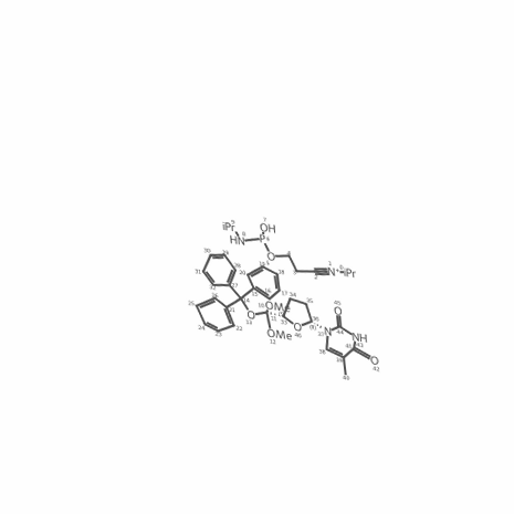 CC(C)[N+]#CCCOP(O)NC(C)C.COC(OC)(OC(c1ccccc1)(c1ccccc1)c1ccccc1)[C@@H]1CC[C@H](n2cc(C)c(=O)[nH]c2=O)O1